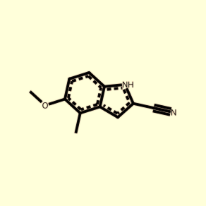 COc1ccc2[nH]c(C#N)cc2c1C